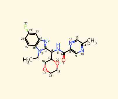 CCn1c(C(NC(=O)c2cnc(C)cn2)C2COCCO2)nc2cc(F)ccc21